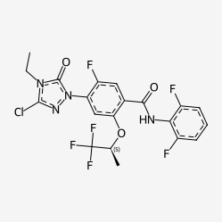 CCn1c(Cl)nn(-c2cc(O[C@@H](C)C(F)(F)F)c(C(=O)Nc3c(F)cccc3F)cc2F)c1=O